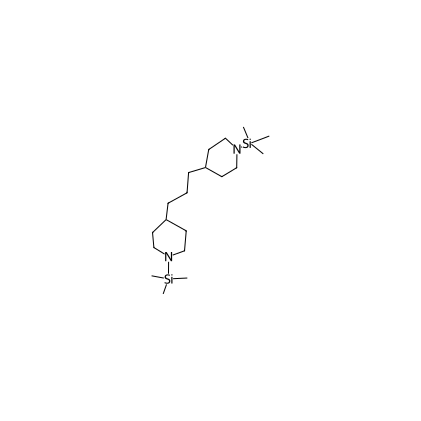 C[Si](C)(C)N1CCC(CCCC2CCN([Si](C)(C)C)CC2)CC1